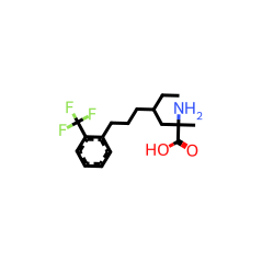 CCC(CCCc1ccccc1C(F)(F)F)CC(C)(N)C(=O)O